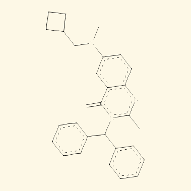 Cc1nc2ccc(N(C)CC3CCC3)cc2c(=O)n1C(c1ccccc1)c1ccccc1